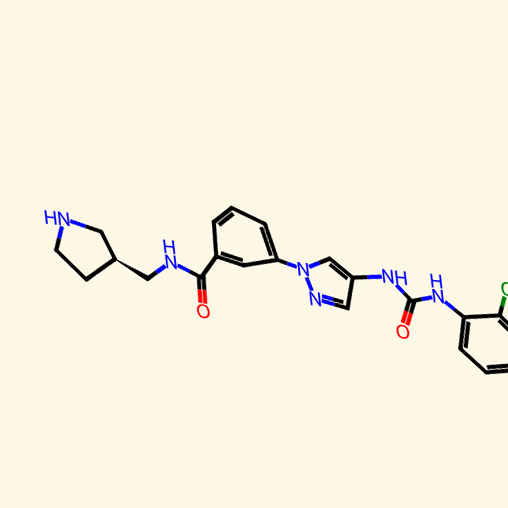 O=C(Nc1cnn(-c2cccc(C(=O)NC[C@H]3CCNC3)c2)c1)Nc1ccccc1Cl